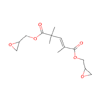 C/C(=C\C(C)(C)C(=O)OCC1CO1)C(=O)OCC1CO1